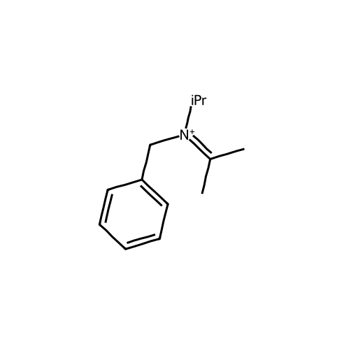 CC(C)=[N+](Cc1ccccc1)C(C)C